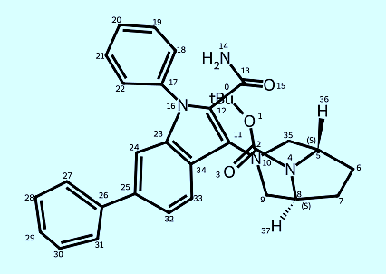 CC(C)(C)OC(=O)N1[C@H]2CC[C@H]1CN(c1c(C(N)=O)n(-c3ccccc3)c3cc(-c4ccccc4)ccc13)C2